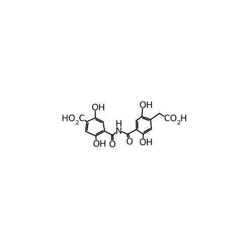 O=C(O)Cc1cc(O)c(C(=O)NC(=O)c2cc(O)c(C(=O)O)cc2O)cc1O